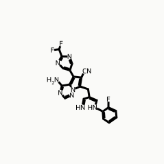 N#Cc1c(-c2cnc(C(F)F)nc2)c2c(N)ncnn2c1C/C(C=N)=C/Nc1ccccc1F